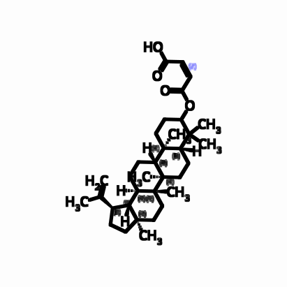 C=C(C)[C@@H]1CC[C@]2(C)CC[C@]3(C)[C@H](CC[C@@H]4[C@@]5(C)CCC(OC(=O)/C=C\C(=O)O)C(C)(C)[C@@H]5CC[C@]43C)[C@@H]12